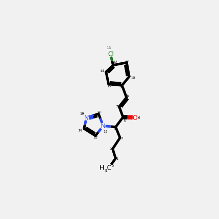 CCCCC(C(=O)C=Cc1ccc(Cl)cc1)n1ccnc1